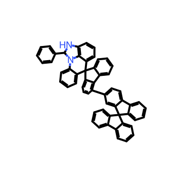 c1ccc(C2Nc3cccc4c3N2c2ccccc2C42c3ccccc3-c3c(-c4ccc5c(c4)C4(c6ccccc6-c6ccccc64)c4ccccc4-5)cccc32)cc1